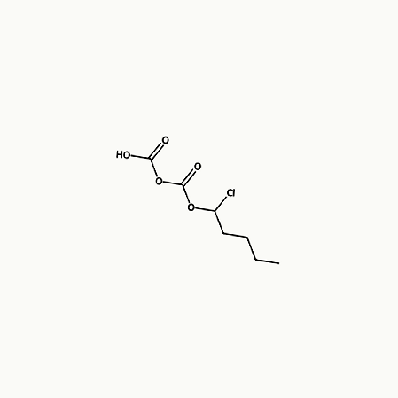 CCCCC(Cl)OC(=O)OC(=O)O